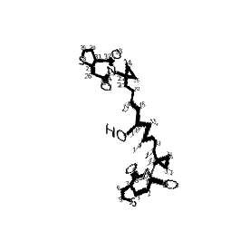 O=C1C=C2SCCC2C(=O)N1C1(CCCCC(O)CCCCC2(N3C(=O)C=C4SCCC4C3=O)CC2)CC1